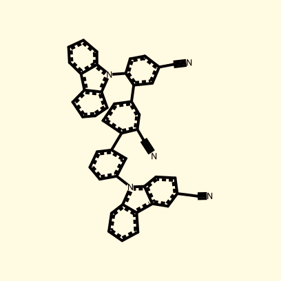 N#Cc1ccc(-n2c3ccccc3c3ccccc32)c(-c2ccc(-c3cccc(-n4c5ccccc5c5cc(C#N)ccc54)c3)c(C#N)c2)c1